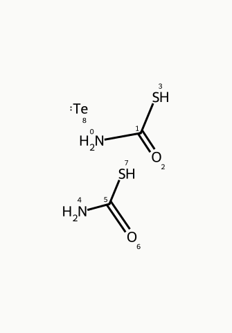 NC(=O)S.NC(=O)S.[Te]